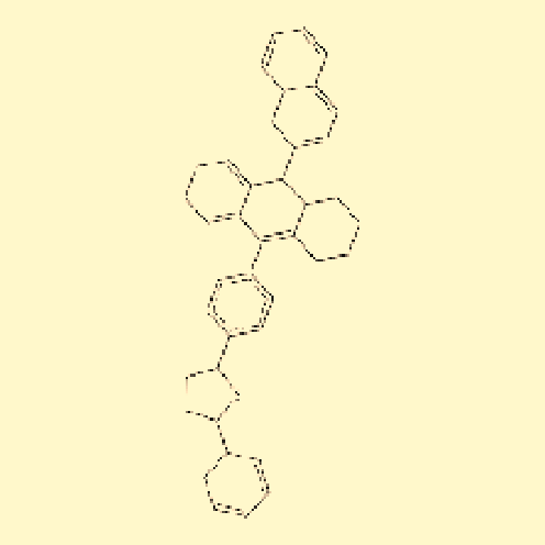 C1=CCC(C2CCC(c3ccc(C4=C5CCCCC5C(C5=CC=C6C=CC=CC6C5)C5=CCCC=C54)cc3)S2)C=C1